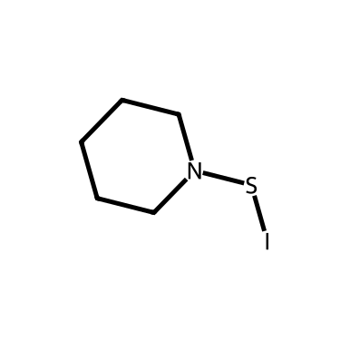 ISN1CCCCC1